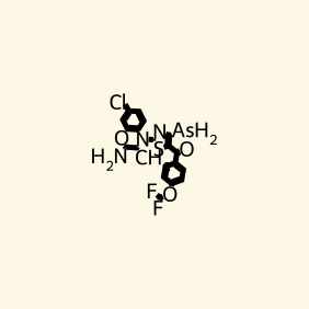 C[C@@H](C(N)=O)N(c1ccc(Cl)cc1)c1nc([AsH2])c(C(=O)c2ccc(OC(F)F)cc2)s1